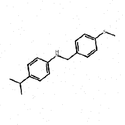 CSc1ccc(CNc2ccc(C(C)C)cc2)cc1